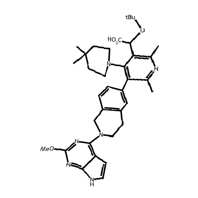 COc1nc(N2CCc3cc(-c4c(C)nc(C)c(C(OC(C)(C)C)C(=O)O)c4N4CCC(C)(C)CC4)ccc3C2)c2cc[nH]c2n1